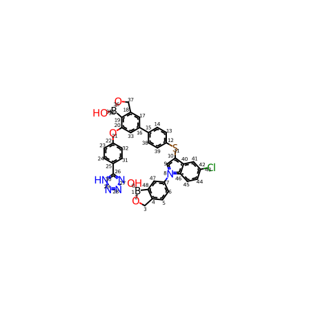 OB1OCc2ccc(-n3cc(Sc4ccc(-c5cc6c(c(Oc7ccc(-c8nnn[nH]8)cc7)c5)B(O)OC6)cc4)c4cc(Cl)ccc43)cc21